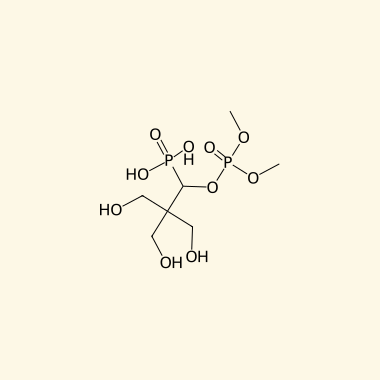 COP(=O)(OC)OC(C(CO)(CO)CO)P(=O)(O)O